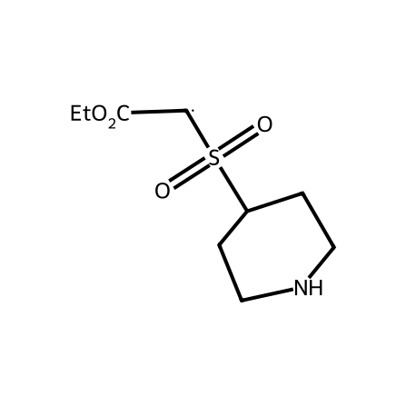 CCOC(=O)[CH]S(=O)(=O)C1CCNCC1